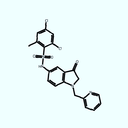 Cc1cc(Cl)cc(Cl)c1S(=O)(=O)Nc1ccc2c(c1)C(=O)CN2Cc1ccccn1